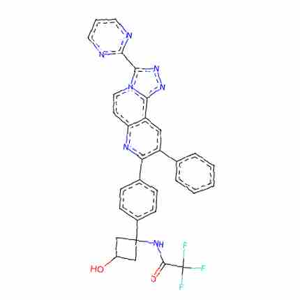 O=C(NC1(c2ccc(-c3nc4ccn5c(-c6ncccn6)nnc5c4cc3-c3ccccc3)cc2)CC(O)C1)C(F)(F)F